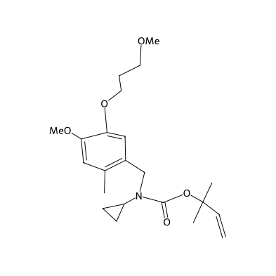 C=CC(C)(C)OC(=O)N(Cc1cc(OCCCOC)c(OC)cc1C)C1CC1